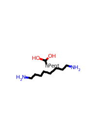 CCCCCC(O)O.NCCCCCCCCN